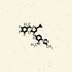 COc1cc(Nc2cc(C3CC3)nn([C@@H](C)c3cc(F)c(F)c(F)c3)c2=O)ccc1-n1cnc(C)c1